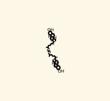 CC(CCC[C@@H](C)[C@H]1CC[C@H]2[C@@H]3CC=C4C[C@@H](O)CC[C@]4(C)[C@H]3CC[C@]12C)CN=NCC(C)CCC[C@@H](C)[C@H]1CC[C@H]2[C@@H]3CC=C4C[C@@H](O)CC[C@]4(C)[C@H]3CC[C@]12C